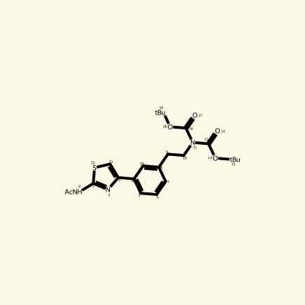 CC(=O)Nc1nc(-c2cccc(CCN(C(=O)OC(C)(C)C)C(=O)OC(C)(C)C)c2)cs1